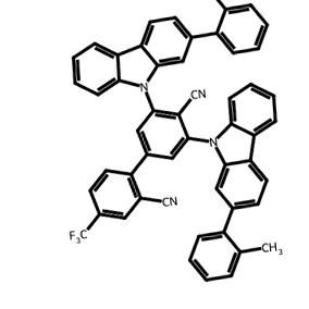 Cc1ccccc1-c1ccc2c3ccccc3n(-c3cc(-c4ccc(C(F)(F)F)cc4C#N)cc(-n4c5ccccc5c5ccc(-c6ccccc6C)cc54)c3C#N)c2c1